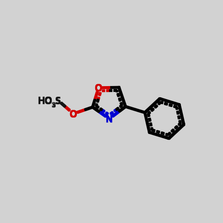 O=S(=O)(O)Oc1nc(-c2ccccc2)co1